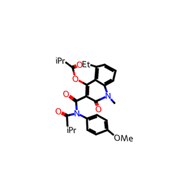 CCc1cccc2c1c(OC(=O)C(C)C)c(C(=O)N(C(=O)C(C)C)c1ccc(OC)cc1)c(=O)n2C